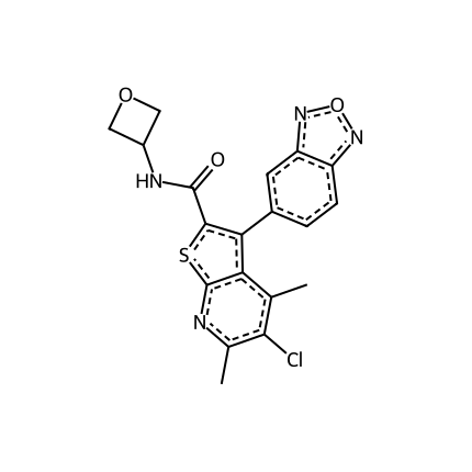 Cc1nc2sc(C(=O)NC3COC3)c(-c3ccc4nonc4c3)c2c(C)c1Cl